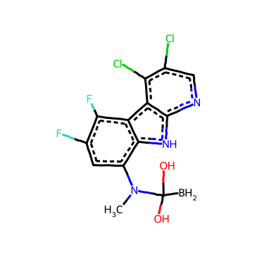 BC(O)(O)N(C)c1cc(F)c(F)c2c1[nH]c1ncc(Cl)c(Cl)c12